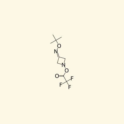 CC(C)(C)ON=C1CN(OC(=O)C(F)(F)F)C1